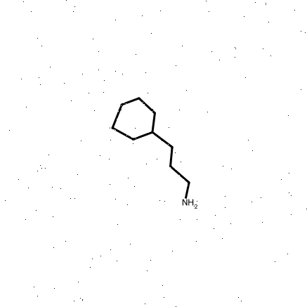 NCCCC1C[CH]CCC1